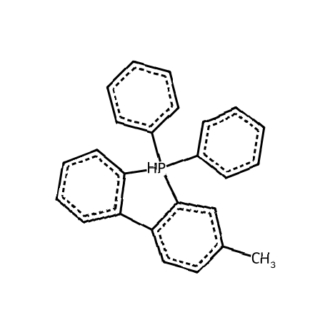 Cc1ccc2c(c1)[PH](c1ccccc1)(c1ccccc1)c1ccccc1-2